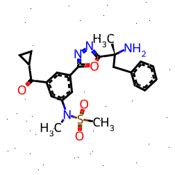 CN(c1cc(C(=O)C2CC2)cc(-c2nnc([C@](C)(N)Cc3ccccc3)o2)c1)S(C)(=O)=O